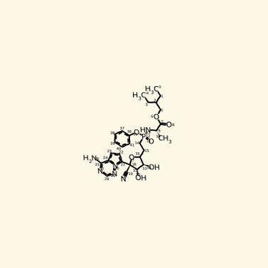 CCC(CC)COC(=O)[C@H](C)NP(=O)(CCC1O[C@@](C#N)(c2ccc3c(N)ncnn23)[C@H](O)[C@@H]1O)Oc1ccccc1